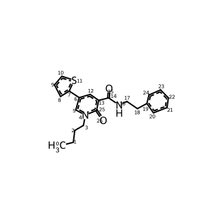 CCCCn1cc(-c2cccs2)cc(C(=O)NCCc2ccccc2)c1=O